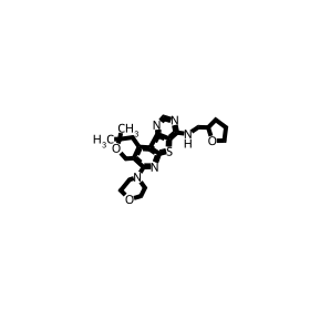 CC1(C)Cc2c(c(N3CCOCC3)nc3sc4c(NCC5CCCO5)ncnc4c23)CO1